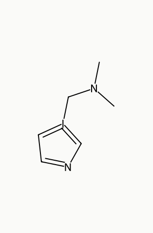 CN(C)CI1=CC=NC=1